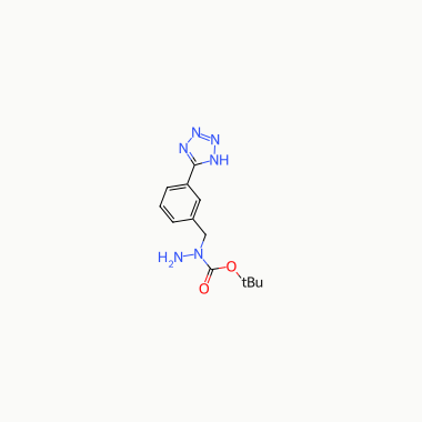 CC(C)(C)OC(=O)N(N)Cc1cccc(-c2nnn[nH]2)c1